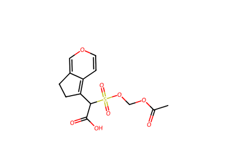 CC(=O)OCOS(=O)(=O)C(C(=O)O)C1=C2C=COC=C2CC1